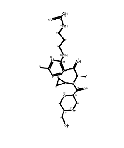 Cc1ccc(C(=N)[C@@H](C)N(C(=O)[C@H]2CN[C@@H](CO)CO2)C2CC2)c(NCCCNC(=O)O)n1